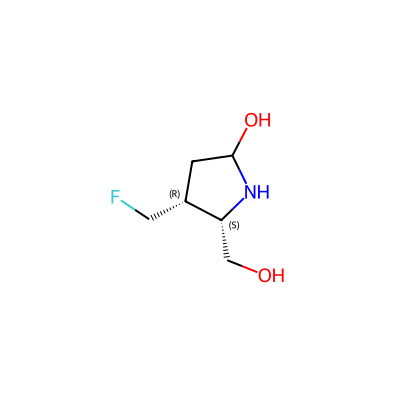 OC[C@H]1NC(O)C[C@H]1CF